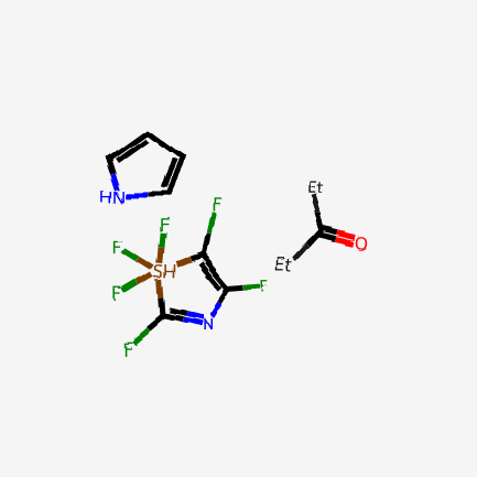 CCC(=O)CC.FC1=NC(F)=C(F)[SH]1(F)(F)F.c1cc[nH]c1